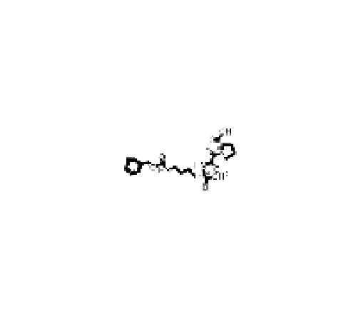 CC(N[C@@H](CCCCNC(=O)OCc1ccccc1)C(=O)O)C(=O)N1CCC[C@H]1C(=O)O